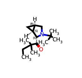 CCC(C)(C)C(=O)[C@@H]1[C@H]2C[C@H]2CN1C(C)(C)C